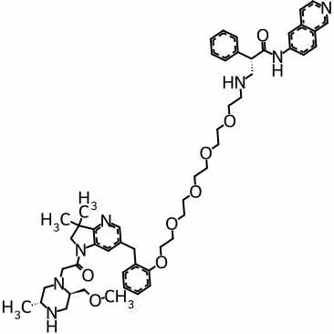 COC[C@H]1CN[C@H](C)CN1CC(=O)N1CC(C)(C)c2ncc(Cc3ccccc3OCCOCCOCCOCCOCCNC[C@@H](C(=O)Nc3ccc4cnccc4c3)c3ccccc3)cc21